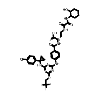 O=C(NCC[C@H](NC(=O)c1ccc(Nc2nc(NC3(c4ccc(Cl)cc4)CC3)nc(OCC(F)(F)F)n2)cc1)C(=O)O)C(=O)NC1CCCCC1O